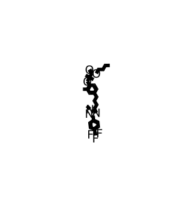 CCCCOC(=O)C(C)(C)Oc1ccc(CCCc2nc(-c3ccc(C(F)(F)F)cc3)nn2C)cc1C